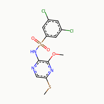 COc1nc(SC)cnc1NS(=O)(=O)c1cc(Cl)cc(Cl)c1